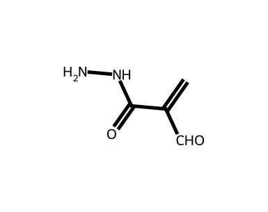 C=C(C=O)C(=O)NN